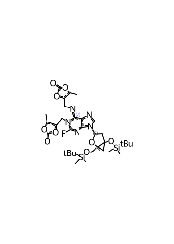 Cc1oc(=O)oc1C/N=c1/c2ncn([C@H]3CC4(O[Si](C)(C)C(C)(C)C)C[C@]4(CO[Si](C)(C)C(C)(C)C)O3)c2nc(F)n1Cc1oc(=O)oc1C